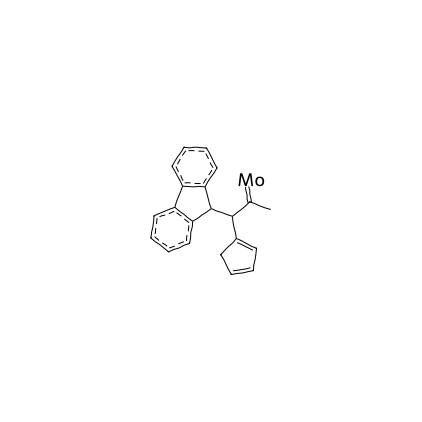 C[C](=[Mo])C(C1=CC=CC1)C1c2ccccc2-c2ccccc21